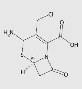 NC1S[C@@H]2CC(=O)N2C(C(=O)O)=C1CCl